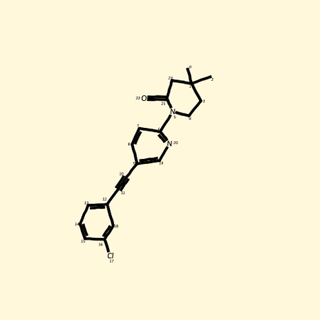 CC1(C)CCN(c2ccc(C#Cc3cccc(Cl)c3)cn2)C(=O)C1